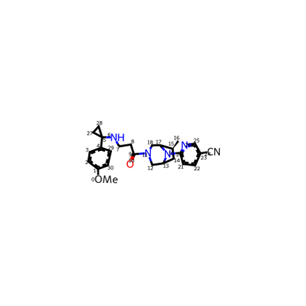 COc1ccc(C2(NCCC(=O)N3CC4C[C@H](C)C(C3)N4c3ccc(C#N)cn3)CC2)cc1